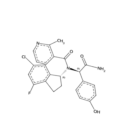 Cc1ncccc1C(=O)N([C@@H]1CCc2c(F)cc(Cl)cc21)[C@@H](C(N)=O)c1ccc(O)cc1